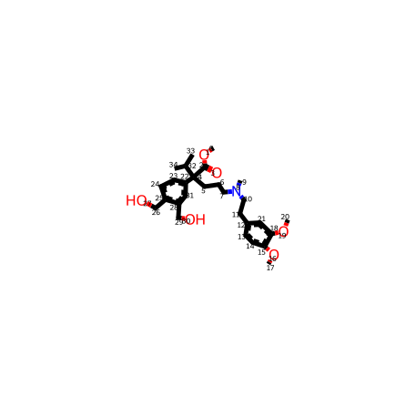 COC(=O)C(CCCN(C)CCc1ccc(OC)c(OC)c1)(c1ccc(CO)c(CO)c1)C(C)C